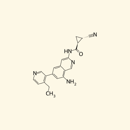 CCc1ccncc1-c1cc(N)c2cnc(NC(=O)[C@H]3C[C@@H]3C#N)cc2c1